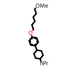 CCCC1CCC(c2ccc(OCCCCCCOC)cc2)CC1